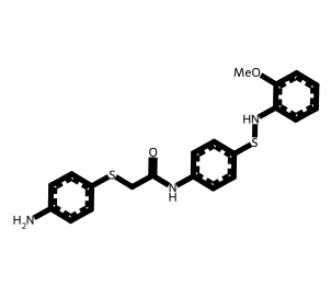 COc1ccccc1NSc1ccc(NC(=O)CSc2ccc(N)cc2)cc1